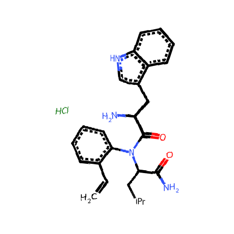 C=Cc1ccccc1N(C(=O)C(N)Cc1c[nH]c2ccccc12)C(CC(C)C)C(N)=O.Cl